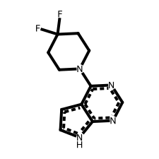 FC1(F)CCN(c2ncnc3[nH]ccc23)CC1